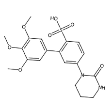 COc1cc(-c2cc(N3CCCNC3=O)ccc2S(=O)(=O)O)cc(OC)c1OC